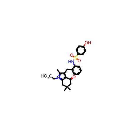 Cc1c(Cc2ccccc2NS(=O)(=O)c2ccc(O)cc2)c2c(n1CC(=O)O)CC(C)(C)CC2=O